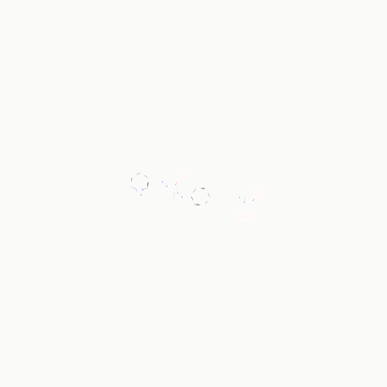 O=C(Nc1ccc(C2CCN(C(=O)C3(O)CC3)CC2)cc1)N1Cc2cc(F)cnc2C1